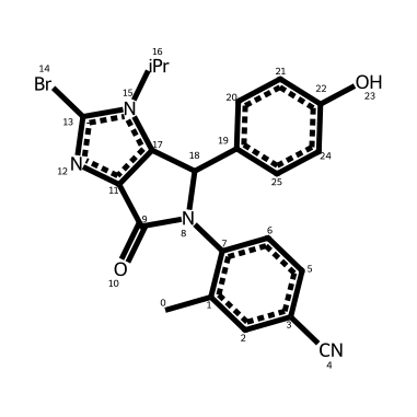 Cc1cc(C#N)ccc1N1C(=O)c2nc(Br)n(C(C)C)c2C1c1ccc(O)cc1